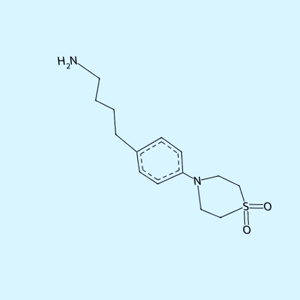 NCCCCc1ccc(N2CCS(=O)(=O)CC2)cc1